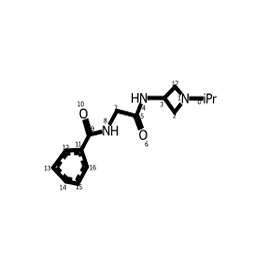 CC(C)N1CC(NC(=O)CNC(=O)c2ccccc2)C1